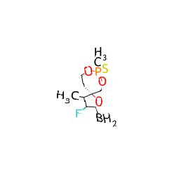 B[C@@H]1O[C@@]2(CCOP(C)(=S)OC2)C(C)[C@@H]1F